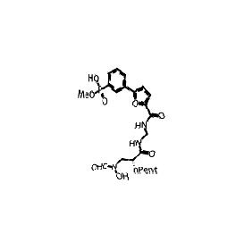 CCCCC[C@H](CN(O)C=O)C(=O)NCNC(=O)c1ccc(-c2cccc(P(=O)(O)OC)c2)o1